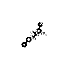 O=C(NC1CCC(c2ccccc2)CC1)c1nc2c(C(F)(F)F)cc(-c3ccoc3)cn2c1Cl